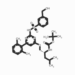 Cc1cccc(C)c1-c1cc(OC[C@@H](CC(C)C)NC(=O)OC(C)(C)C)nc(NS(=O)(=O)c2cccc(CO)c2)n1